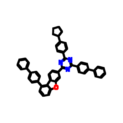 c1ccc(-c2ccc(-c3nc(-c4ccc(C5CCCC5)cc4)nc(-c4ccc5c(c4)oc4cccc(-c6ccc(-c7ccccc7)cc6)c45)n3)cc2)cc1